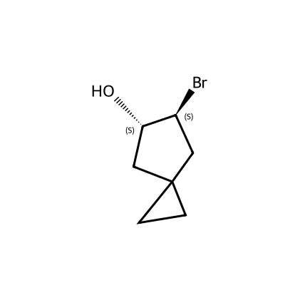 O[C@H]1CC2(CC2)C[C@@H]1Br